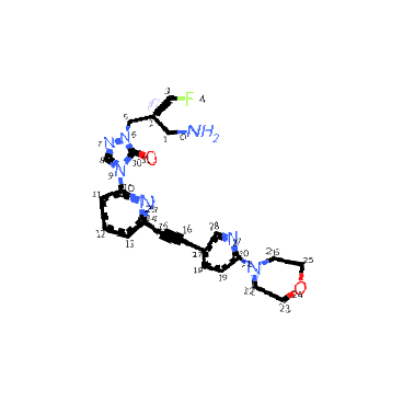 NC/C(=C\F)Cn1ncn(-c2cccc(C#Cc3ccc(N4CCOCC4)nc3)n2)c1=O